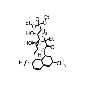 CCOP(=O)(C[C@H](O)C[C@@H](O)CC[C@@H]1[C@@H]2C(=C[C@H](C)C[C@@H]2OC(=O)C(C)(C)CC)C=C[C@@H]1C)OCC